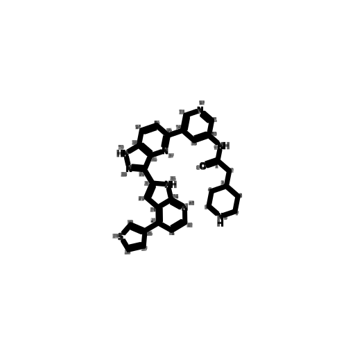 O=C(CC1CCNCC1)Nc1cncc(-c2ccc3[nH]nc(-c4cc5c(-c6ccsc6)ccnc5[nH]4)c3n2)c1